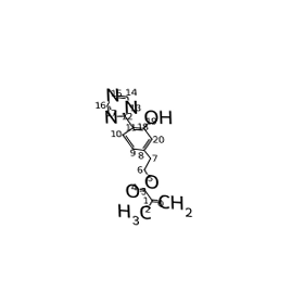 C=C(C)C(=O)OCCc1ccc(-c2ncncn2)c(O)c1